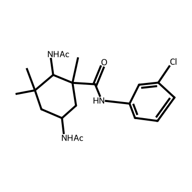 CC(=O)NC1CC(C)(C)C(NC(C)=O)C(C)(C(=O)Nc2cccc(Cl)c2)C1